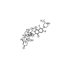 CCn1c(C(O)C(=O)[C@@]2(O)CC[C@H]3[C@@H]4CCC5=CC(=O)CC[C@]5(C)[C@H]4[C@@H](O)C[C@@]32C)c(C(=O)O)c(=O)c2cc(F)c(N3CCNC(C)C3)c(F)c21